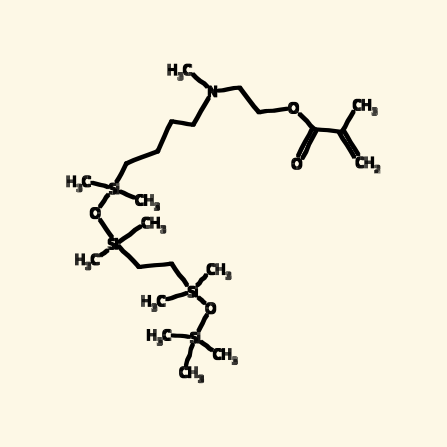 C=C(C)C(=O)OCCN(C)CCCC[Si](C)(C)O[Si](C)(C)CC[Si](C)(C)O[Si](C)(C)C